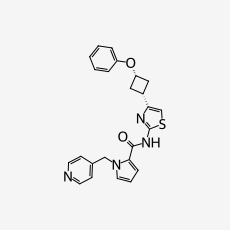 O=C(Nc1nc([C@H]2C[C@@H](Oc3ccccc3)C2)cs1)c1cccn1Cc1ccncc1